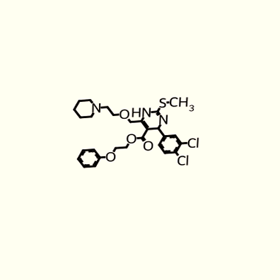 CSC1=NC(c2ccc(Cl)c(Cl)c2)C(C(=O)OCCOc2ccccc2)=C(COCCN2CCCCC2)N1